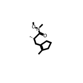 CON(C)C(=O)[C@@H](C)CC1=C(C)CCC1